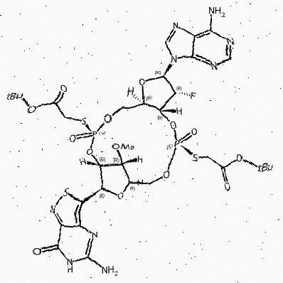 CO[C@H]1[C@H]2O[P@@](=O)(SCC(=O)OC(C)(C)C)OC[C@H]3O[C@@H](n4cnc5c(N)ncnc54)[C@H](F)[C@@H]3O[P@@](=O)(SCC(=O)OC(C)(C)C)OC[C@H]1O[C@H]2c1snc2c(=O)[nH]c(N)nc12